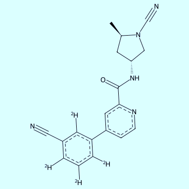 [2H]c1c([2H])c(C#N)c([2H])c(-c2ccnc(C(=O)N[C@@H]3C[C@@H](C)N(C#N)C3)c2)c1[2H]